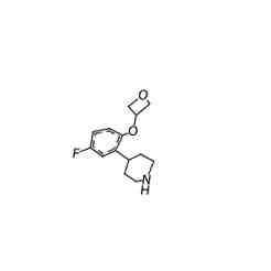 Fc1ccc(OC2COC2)c(C2CCNCC2)c1